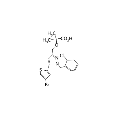 CC(C)(OCc1cc(-c2cc(Br)cs2)n(Cc2ccccc2Cl)n1)C(=O)O